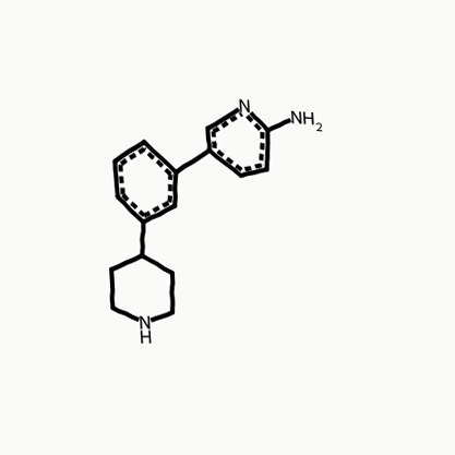 Nc1ccc(-c2cccc(C3CCNCC3)c2)cn1